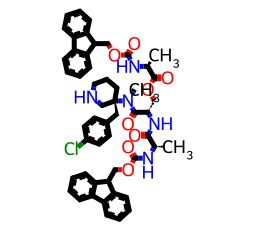 C[C@H](NC(=O)OCC1c2ccccc2-c2ccccc21)C(=O)N[C@@H](COC(=O)[C@H](C)NC(=O)OCC1c2ccccc2-c2ccccc21)C(=O)N(C)[C@@]1(Cc2ccc(Cl)cc2)CCCNC1